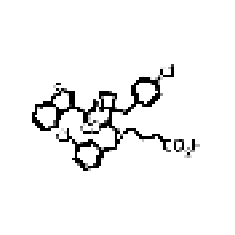 O=C(O)CCCN(Cc1cccc(Cl)c1)C(=O)C1(Cc2ccc(Cl)cc2)CCN1C(=O)c1csc2ccccc12